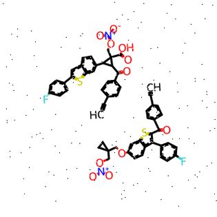 C#Cc1ccc(C(=O)C2C(c3ccc4cc(-c5ccc(F)cc5)sc4c3)C2(CO[N+](=O)[O-])C(=O)O)cc1.C#Cc1ccc(C(=O)c2sc3cc(OCC4(CO[N+](=O)[O-])CC4)ccc3c2-c2ccc(F)cc2)cc1